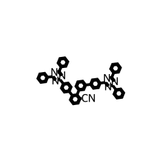 N#Cc1cccc(-c2ccc(-c3nc(-c4ccccc4)nc(-c4ccccc4)n3)cc2)c1-c1cccc(-c2ccc(-c3nc(-c4ccccc4)nc(-c4ccccc4)n3)cc2)c1